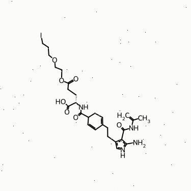 C=C(C)NC(=O)c1c(CCC2=CCC(C(=O)N[C@@H](CCC(=O)OCCOCCCI)C(=O)O)C=C2)c[nH]c1N